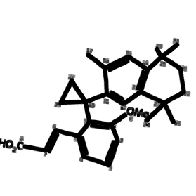 COc1cccc(/C=C/C(=O)O)c1C1(c2cc3c(cc2C)C(C)(C)CCC3(C)C)CC1